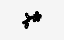 C1=CCC(c2ccccc2C2N=C(c3ccc(N4C5=Cc6ccccc6CC5C5=C4CCC(N4c6ccccc6C6C7C=CCCC7C=CC64)=C5)cc3)N=C(c3ccccc3-c3ccccc3)N2)C=C1